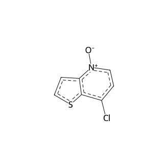 [O-][n+]1ccc(Cl)c2sccc21